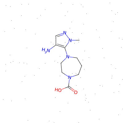 Cn1ncc(N)c1N1CCCN(C(=O)O)CC1